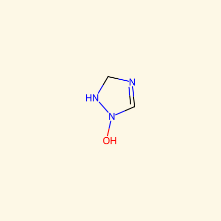 ON1C=NCN1